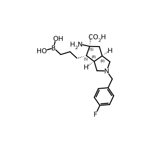 N[C@@]1(C(=O)O)C[C@H]2CN(Cc3ccc(F)cc3)C[C@H]2[C@@H]1CCCB(O)O